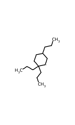 CCCC1C[CH]C(CCC)(CCC)CC1